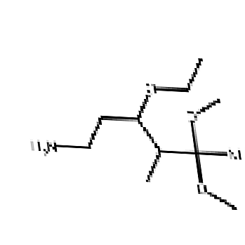 CCOC(CCN)C(C)C(N)(OC)OC